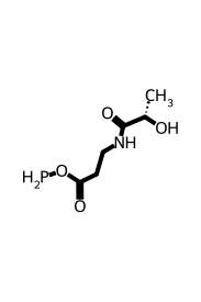 C[C@H](O)C(=O)NCCC(=O)OP